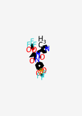 Cc1cnccc1CN1C(=O)N(c2ccc(S(=O)(=O)C(F)(F)F)cc2)C(=O)C12CC2OC(=O)C(F)(F)F